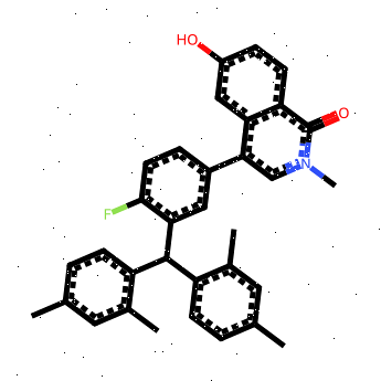 Cc1ccc(C(c2ccc(C)cc2C)c2cc(-c3cn(C)c(=O)c4ccc(O)cc34)ccc2F)c(C)c1